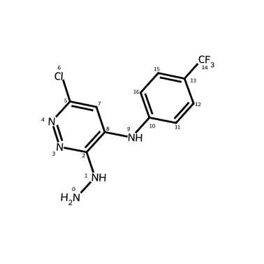 NNc1nnc(Cl)cc1Nc1ccc(C(F)(F)F)cc1